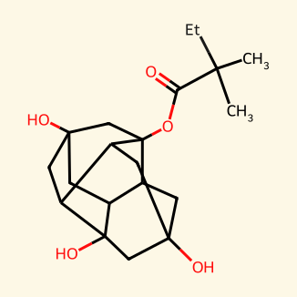 CCC(C)(C)C(=O)OC12CC3(O)CC4C1CC1(O)CC2C(C3)C4(O)C1